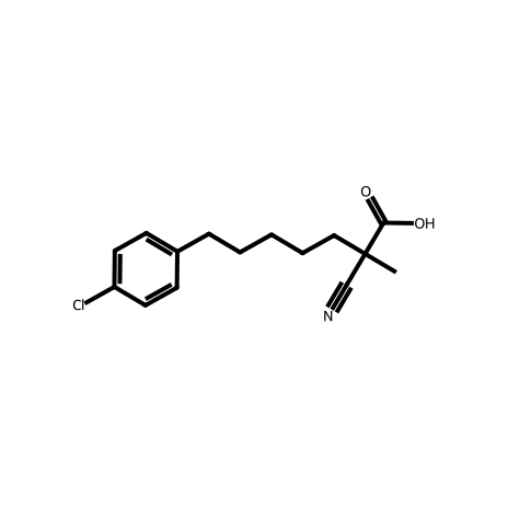 CC(C#N)(CCCCCc1ccc(Cl)cc1)C(=O)O